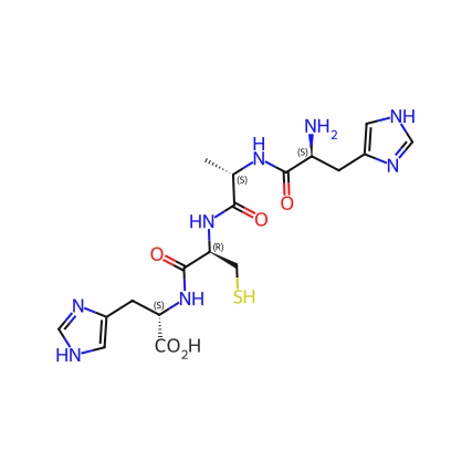 C[C@H](NC(=O)[C@@H](N)Cc1c[nH]cn1)C(=O)N[C@@H](CS)C(=O)N[C@@H](Cc1c[nH]cn1)C(=O)O